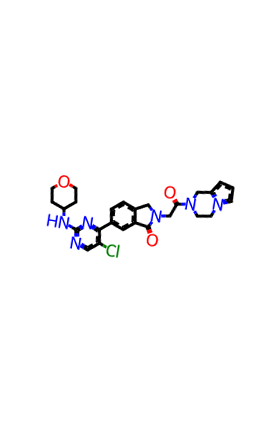 O=C(CN1Cc2ccc(-c3nc(NC4CCOCC4)ncc3Cl)cc2C1=O)N1CCn2cccc2C1